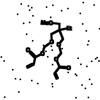 C=CC(=O)OCOCC(CC)(COC)COCOC(=O)C=C